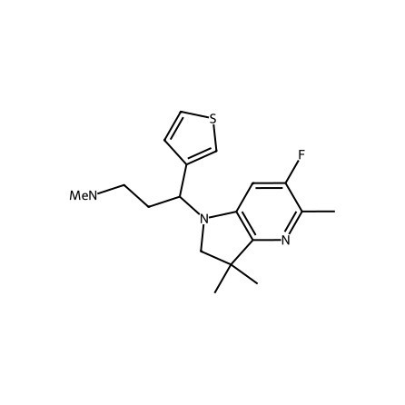 CNCCC(c1ccsc1)N1CC(C)(C)c2nc(C)c(F)cc21